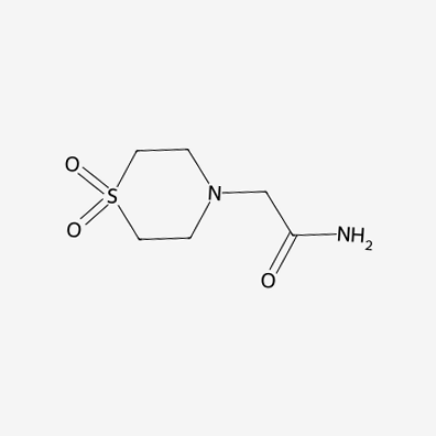 NC(=O)CN1CCS(=O)(=O)CC1